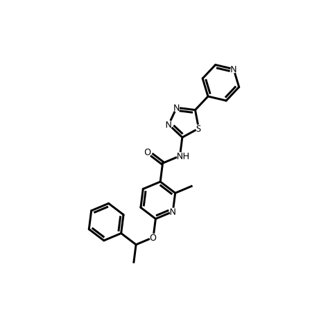 Cc1nc(OC(C)c2ccccc2)ccc1C(=O)Nc1nnc(-c2ccncc2)s1